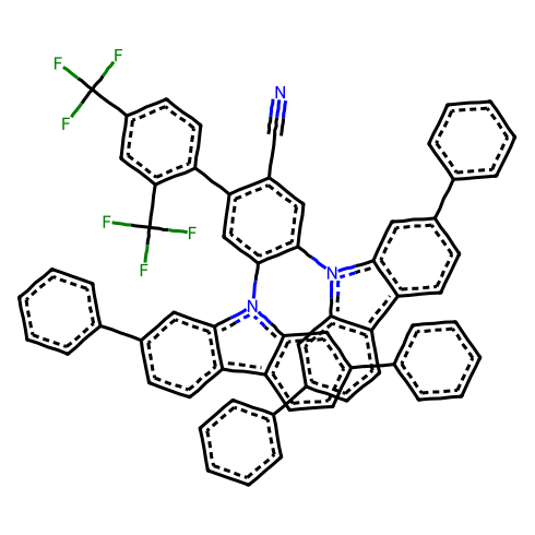 N#Cc1cc(-n2c3cc(-c4ccccc4)ccc3c3ccc(-c4ccccc4)cc32)c(-n2c3cc(-c4ccccc4)ccc3c3ccc(-c4ccccc4)cc32)cc1-c1ccc(C(F)(F)F)cc1C(F)(F)F